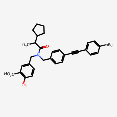 CCCCc1ccc(C#Cc2ccc(CN(Cc3ccc(O)c(C(=O)O)c3)C(=O)C(C)C3CCCC3)cc2)cc1